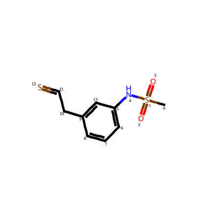 CS(=O)(=O)Nc1cccc(CC=S)c1